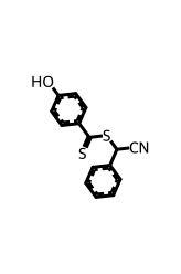 N#CC(SC(=S)c1ccc(O)cc1)c1ccccc1